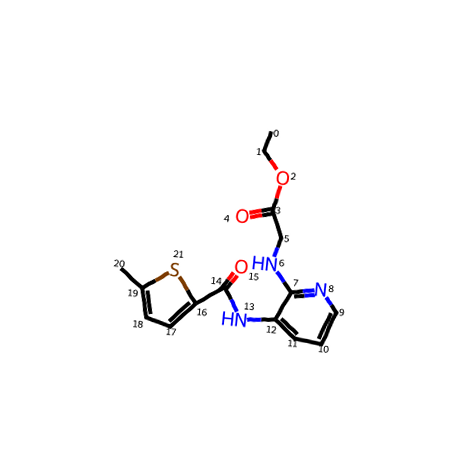 CCOC(=O)CNc1ncccc1NC(=O)c1ccc(C)s1